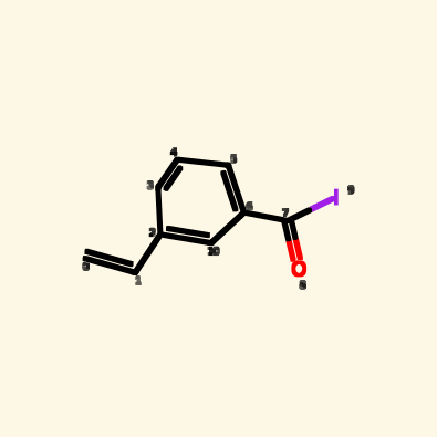 C=Cc1cccc(C(=O)I)c1